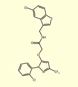 O=C(COc1cc(C(F)(F)F)nn1-c1ccccc1Cl)NCc1csc2ccc(Cl)cc12